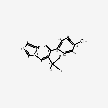 CC(/C(=C\n1cncn1)C(C)(C)C)c1ccc(Cl)cc1